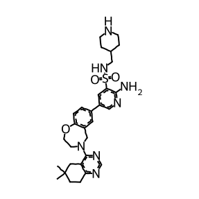 CC1(C)CCc2ncnc(N3CCOc4ccc(-c5cnc(N)c(S(=O)(=O)NCC6CCNCC6)c5)cc4C3)c2C1